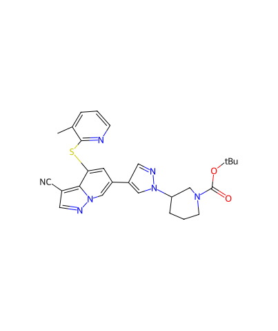 Cc1cccnc1Sc1cc(-c2cnn(C3CCCN(C(=O)OC(C)(C)C)C3)c2)cn2ncc(C#N)c12